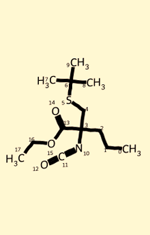 CCCC(CSC(C)(C)C)(N=C=O)C(=O)OCC